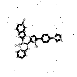 CCn1c(-c2ccc(-n3ccnc3)cc2)cnc1[C@H](Cc1ccccn1)N(C=O)c1cc2cc(Br)ccc2o1